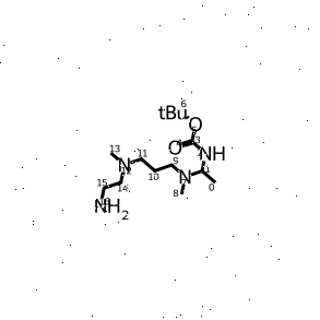 CC(NC(=O)OC(C)(C)C)N(C)CCCN(C)CCN